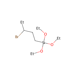 CCO[Si](CCC(Br)CC)(OCC)OCC